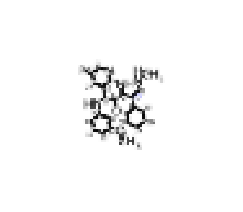 CN/C=C(\C(=N)C(=O)C(Nc1cccc(OC)c1)c1cncc(F)c1)c1ccccc1